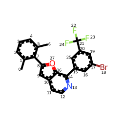 Cc1cccc(C)c1-c1cc2ccnc(-c3cc(Br)cc(C(F)(F)F)c3)c2o1